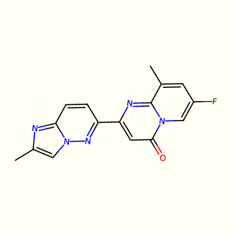 Cc1cn2nc(-c3cc(=O)n4cc(F)cc(C)c4n3)ccc2n1